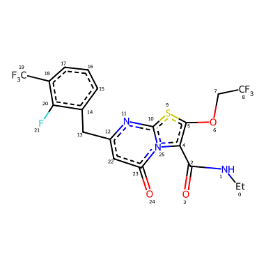 CCNC(=O)c1c(OCC(F)(F)F)sc2nc(Cc3cccc(C(F)(F)F)c3F)cc(=O)n12